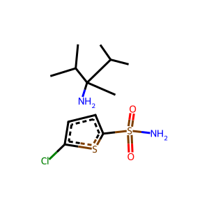 CC(C)C(C)(N)C(C)C.NS(=O)(=O)c1ccc(Cl)s1